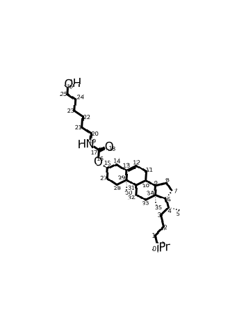 CC(C)CCC[C@@H](C)[C@H]1CCC2C3CC=C4C[C@@H](OC(=O)NCCCCCCO)CC[C@]4(C)C3CC[C@@]21C